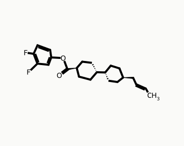 CC=CC[C@H]1CC[C@H]([C@H]2CC[C@H](C(=O)Oc3ccc(F)c(F)c3)CC2)CC1